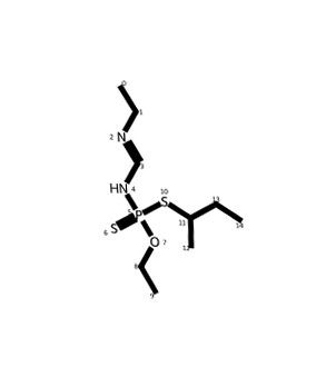 CCN=CNP(=S)(OCC)SC(C)CC